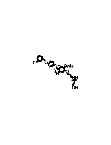 COc1cc2c(Nc3ccc(OCc4cccc(Cl)c4)nc3)ncnc2cc1OCCCNC(C)(C)CCO